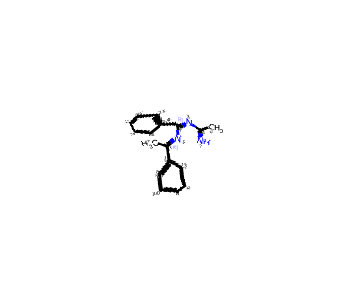 CC(=N)/N=C(\N=C(/C)c1ccccc1)c1ccccc1